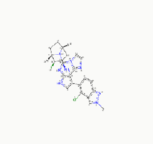 Cn1cc2c(Cl)c(-c3c[nH]c4nc(N5[C@@H]6CC[C@H]5[C@H](F)[C@H](N)C6)n5ccnc5c34)ccc2n1